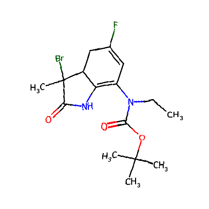 CCN(C(=O)OC(C)(C)C)C1=C2NC(=O)C(C)(Br)C2CC(F)=C1